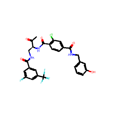 CC(=O)[C@H](CNC(=O)c1cc(F)cc(C(F)(F)F)c1)NC(=O)c1ccc(C(=O)NCc2cccc(O)c2)cc1Cl